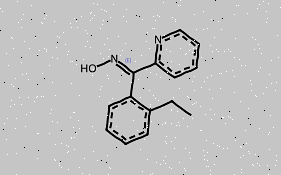 CCc1ccccc1/C(=N\O)c1ccccn1